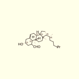 CC(C)CCC[C@@H](C)[C@H]1CC[C@H]2[C@@H]3CC=C4C[C@@H](O)CC(C=O)[C@]4(C)[C@H]3CC[C@]12C